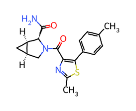 Cc1ccc(-c2sc(C)nc2C(=O)N2C[C@H]3C[C@H]3[C@H]2C(N)=O)cc1